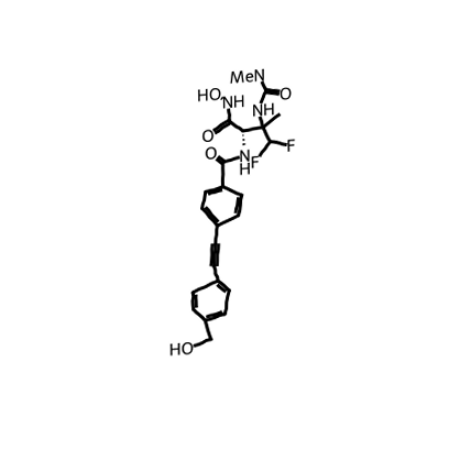 CNC(=O)NC(C)(C(F)F)[C@H](NC(=O)c1ccc(C#Cc2ccc(CO)cc2)cc1)C(=O)NO